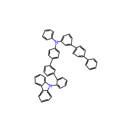 c1ccc(-c2ccc(-c3cccc(N(c4ccccc4)c4ccc(-c5cccc(-c6ccccc6-n6c7ccccc7c7ccccc76)c5)cc4)c3)cc2)cc1